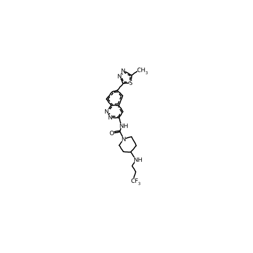 Cc1nnc(-c2ccc3nnc(NC(=O)N4CCC(NCCC(F)(F)F)CC4)cc3c2)s1